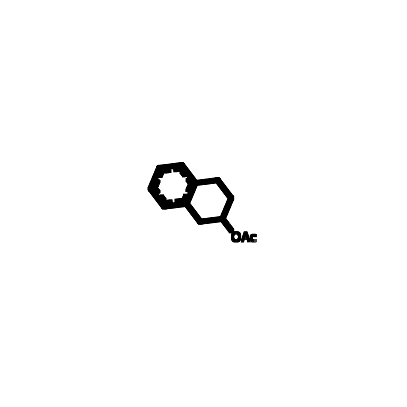 CC(=O)OC1CCc2ccccc2C1